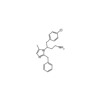 Cc1cnc(Cc2ccccc2)n1C(CCN)Cc1ccc(Cl)cc1